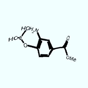 COC(=O)c1ccc(OB(O)O)c(N)c1